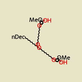 CCCCCCCCCCCCCCCCCCCCC(COCCCCCCCCCCCCOc1ccc(CO)c(OC)c1)OCCCCCCCCCCCCOc1ccc(CO)c(OC)c1